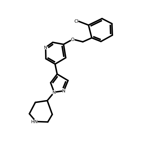 Clc1ccccc1COc1cncc(-c2cnn(C3CCNCC3)c2)c1